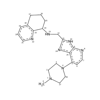 CN1CCN(c2ccnc3[nH]c(CNC4CCCc5cccnc54)nc23)CC1